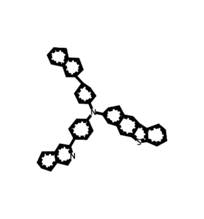 c1ccc2cc(-c3ccc(N(c4ccc(-c5cc6ccccc6cn5)cc4)c4ccc5cc6c(cc5c4)sc4ccccc46)cc3)ccc2c1